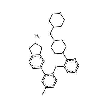 NC1Cc2ccc(-c3cc(F)ccc3Oc3cncnc3N3CCN(CC4CCOCC4)CC3)cc2C1